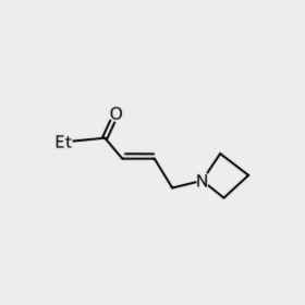 CCC(=O)/C=C/CN1CCC1